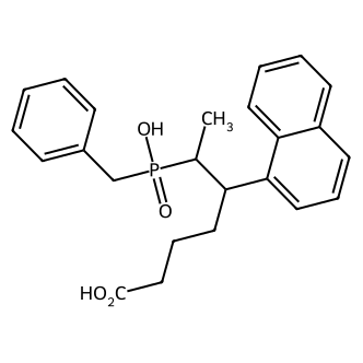 CC(C(CCCC(=O)O)c1cccc2ccccc12)P(=O)(O)Cc1ccccc1